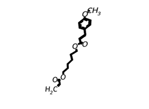 C=CC(=O)OCCCCCCOC(=O)C=Cc1ccc(OC)cc1